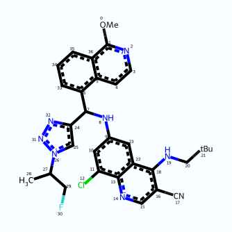 COc1nccc2c(C(Nc3cc(Cl)c4ncc(C#N)c(NCC(C)(C)C)c4c3)c3cn(C(C)CF)nn3)cccc12